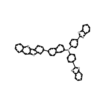 c1ccc2nc3c(cc2c1)sc1cc(-c2ccc4cc(N(c5ccc(-c6nc7ccccc7o6)cc5)c5ccc(-c6nc7ccccc7o6)cc5)ccc4c2)ccc13